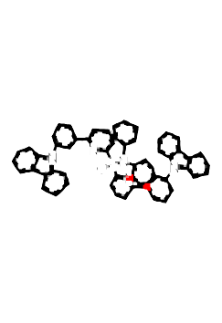 O=P(c1cccc(-c2cccc(-n3c4ccccc4c4ccccc43)c2)n1)(c1cccc(-c2cccc(-n3c4ccccc4c4ccccc43)c2)n1)N(c1ccccc1)c1ccccc1